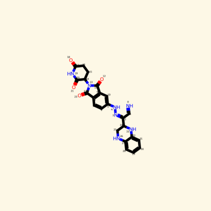 N=C/C(=N\Nc1ccc2c(c1)C(=O)N(C1CCC(=O)NC1=O)C2=O)C1CNc2ccccc2N1